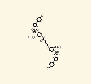 O=C(CCCOc1ccc(NS(=O)(=O)c2ccc(-c3ccc(Cl)cc3)s2)c(C(=O)O)c1)Nc1ccc(NS(=O)(=O)c2ccc(-c3ccc(Cl)cc3)s2)c(C(=O)O)c1